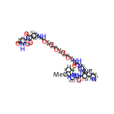 COc1cccc(F)c1-c1nccc(C(=O)Nc2ccc(-c3cnccc3C#N)cc2N2CCN(CC(=O)NCCOCCOCCOCCOCCOCCNc3ccc4c(c3)C(=O)N(C3CCC(=O)NC3=O)C4=O)CC2)n1